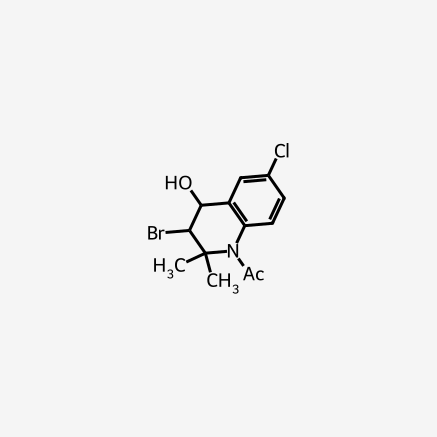 CC(=O)N1c2ccc(Cl)cc2C(O)C(Br)C1(C)C